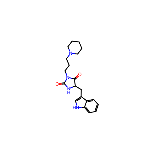 O=C1NC(Cc2c[nH]c3ccccc23)C(=O)N1CCCN1CCCCC1